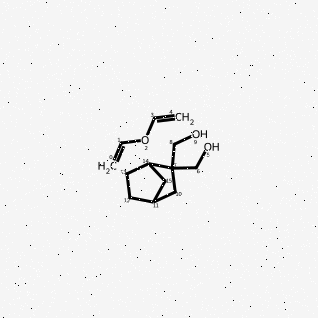 C=COC=C.OCC1(CO)CC2CCC1C2